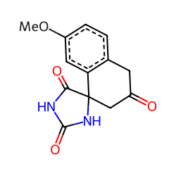 COc1ccc2c(c1)C1(CC(=O)C2)NC(=O)NC1=O